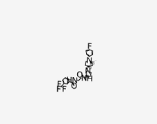 C[C@@H]1C[C@H](N2CC[C@@H](NC(=O)CNC(=O)c3cccc(C(F)(F)F)c3)C2)CCN1c1ccc(F)cc1